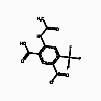 CC(=O)Nc1cc(C(F)(F)F)c([N+](=O)[O-])cc1C(=O)O